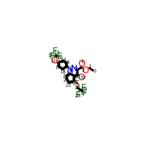 CCOC(=O)c1nn(-c2ccc(OC(F)(F)F)cc2)c2cccc(SCC(F)(F)F)c2c1=O